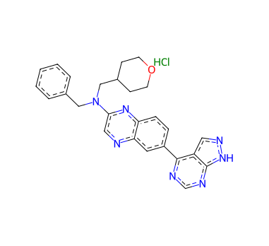 Cl.c1ccc(CN(CC2CCOCC2)c2cnc3cc(-c4ncnc5[nH]ncc45)ccc3n2)cc1